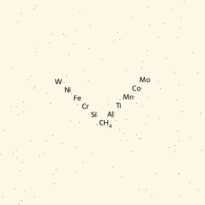 C.[Al].[Co].[Cr].[Fe].[Mn].[Mo].[Ni].[Si].[Ti].[W]